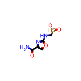 NC(=O)c1coc(NC[SH](=O)=O)n1